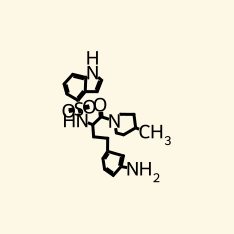 CC1CCN(C(=O)C(CCc2cccc(N)c2)NS(=O)(=O)c2cccc3[nH]ccc23)CC1